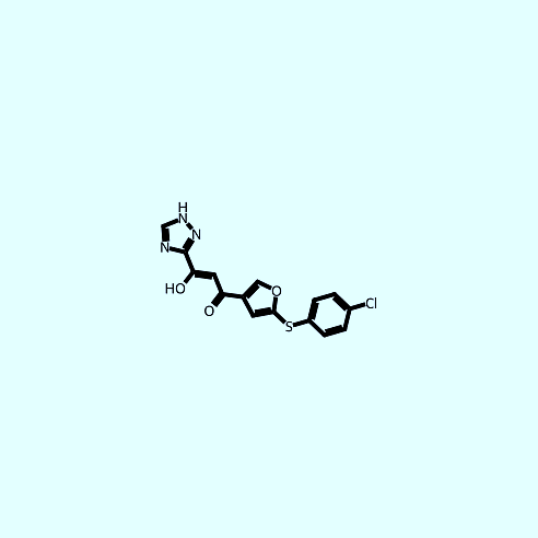 O=C(C=C(O)c1nc[nH]n1)c1coc(Sc2ccc(Cl)cc2)c1